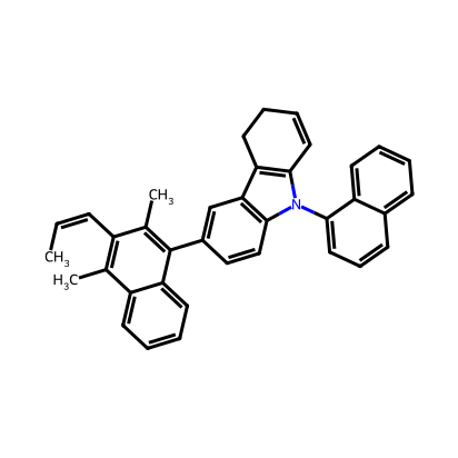 C/C=C\c1c(C)c(-c2ccc3c(c2)c2c(n3-c3cccc4ccccc34)C=CCC2)c2ccccc2c1C